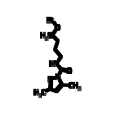 CCO[SiH2]CCCNC(=O)n1nc(C)cc1C